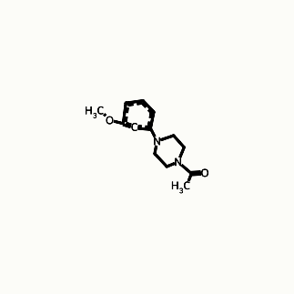 COc1cccc(N2CCN(C(C)=O)CC2)c1